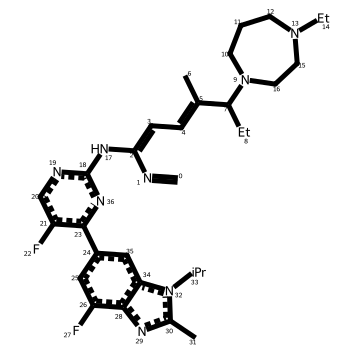 C=N/C(=C\C=C(/C)C(CC)N1CCCN(CC)CC1)Nc1ncc(F)c(-c2cc(F)c3nc(C)n(C(C)C)c3c2)n1